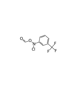 O=CON(Cl)c1cccc(C(F)(F)F)c1